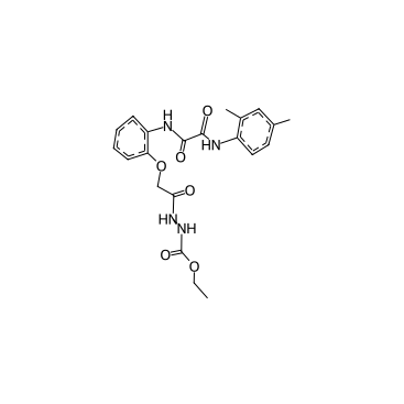 CCOC(=O)NNC(=O)COc1ccccc1NC(=O)C(=O)Nc1ccc(C)cc1C